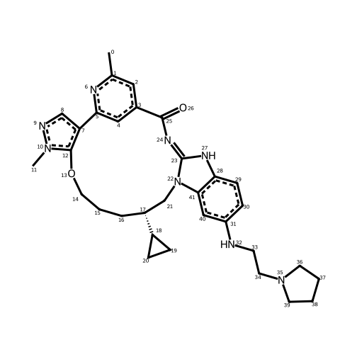 Cc1cc2cc(n1)-c1cnn(C)c1OCCC[C@@H](C1CC1)CN1/C(=N/C2=O)Nc2ccc(NCCN3CCCC3)cc21